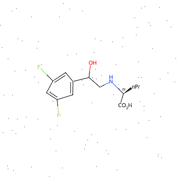 CCC[C@H](NCC(O)c1cc(F)cc(F)c1)C(=O)O